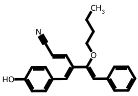 CCCCOC(=Cc1ccccc1)C(C=CC#N)=Cc1ccc(O)cc1